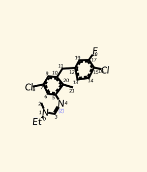 CCN(C)/C=N\c1cc(Cl)cc(Cc2ccc(Cl)c(F)c2)c1C